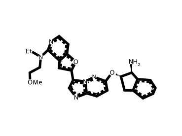 CCN(CCOC)c1nccc2oc(-c3cnc4ccc(O[C@H]5Cc6ccccc6[C@@H]5N)nn34)cc12